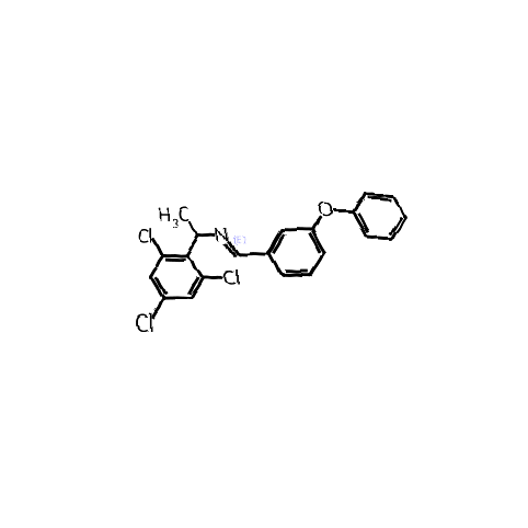 CC(/N=C/c1cccc(Oc2ccccc2)c1)c1c(Cl)cc(Cl)cc1Cl